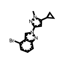 Cn1nc(-n2cc3c(Br)cccc3n2)cc1C1CC1